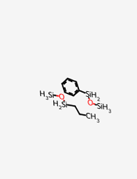 CCC[SiH2]O[SiH3].[SiH3]O[SiH2]c1ccccc1